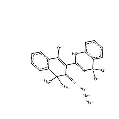 CC1(C)C(=O)C(C2=NS([O-])([O-])c3ccccc3N2)=C([O-])c2ccccc21.[Na+].[Na+].[Na+]